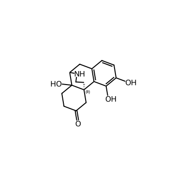 O=C1CCC2(O)C3Cc4ccc(O)c(O)c4[C@@]2(CCN3)C1